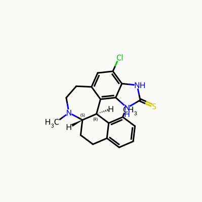 Cc1cccc2c1[C@@H]1c3c(cc(Cl)c4[nH]c(=S)[nH]c34)CCN(C)[C@H]1CC2